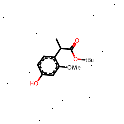 COc1cc(O)ccc1C(C)C(=O)OC(C)(C)C